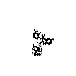 C[C@H](Nc1ncnc2[nH]cnc12)c1nc2ccc(F)cc2c(=O)n1-c1cccc(Cl)c1Cl